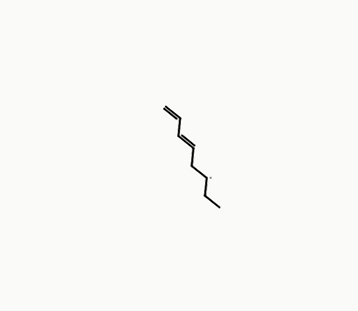 C=CC=CC[CH]CC